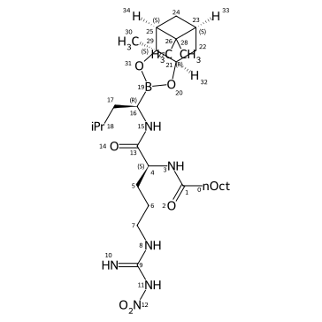 CCCCCCCCC(=O)N[C@@H](CCCNC(=N)N[N+](=O)[O-])C(=O)N[C@@H](CC(C)C)B1O[C@@H]2C[C@@H]3C[C@@H](C3(C)C)[C@]2(C)O1